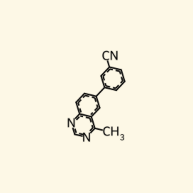 Cc1ncnc2ccc(-c3cccc(C#N)c3)cc12